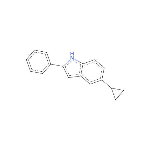 c1ccc(-c2cc3cc(C4CC4)ccc3[nH]2)cc1